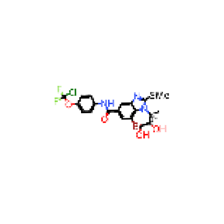 CSc1nc2cc(C(=O)Nc3ccc(OC(F)(F)Cl)cc3)cc(Br)c2n1[C@@H](C)[C@H](O)CO